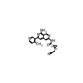 Cc1ccncc1-c1cc2cc(NC(=O)[C@@H]3C[C@H]3CC#N)ncc2c(N)n1